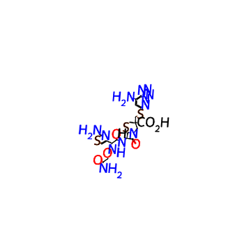 NC(=O)CON=C(C(=O)NC1C(=O)N2CC(CSc3cc(N)c4nnnn4n3)(C(=O)O)CS[C@H]12)c1csc(N)n1